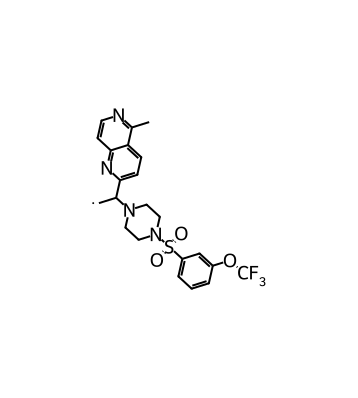 [CH2]C(c1ccc2c(C)nccc2n1)N1CCN(S(=O)(=O)c2cccc(OC(F)(F)F)c2)CC1